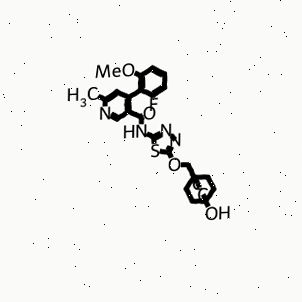 COc1cccc(F)c1-c1cc(C)ncc1C(=O)Nc1nnc(OCC23CCC(O)(CC2)CC3)s1